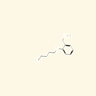 OCc1ccccc1SCCCCCl